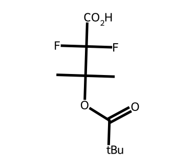 CC(C)(C)C(=O)OC(C)(C)C(F)(F)C(=O)O